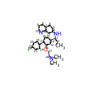 C/C=C(/Nc1ccc2cccnc2c1)c1ccc(-c2ccc(F)cc2)c(OCCN(C)C)c1